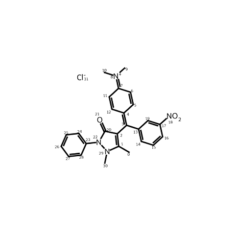 Cc1c(C(=C2C=CC(=[N+](C)C)C=C2)c2cccc([N+](=O)[O-])c2)c(=O)n(-c2ccccc2)n1C.[Cl-]